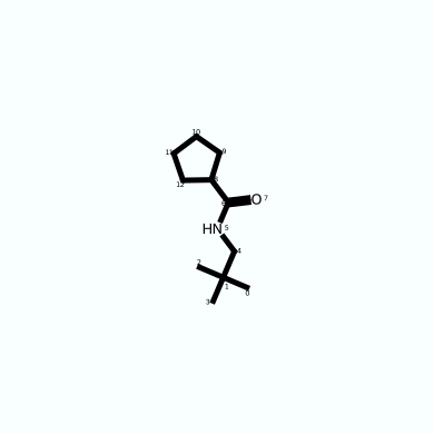 CC(C)(C)CNC(=O)C1CCCC1